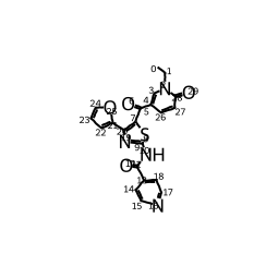 CCn1cc(C(=O)c2sc(NC(=O)c3ccncc3)nc2-c2ccco2)ccc1=O